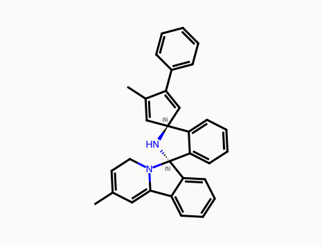 CC1=CCN2C(=C1)c1ccccc1[C@@]21N[C@]2(C=C(C)C(c3ccccc3)=C2)c2ccccc21